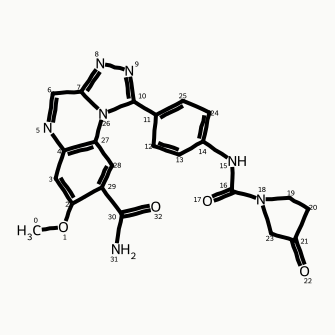 COc1cc2ncc3nnc(-c4ccc(NC(=O)N5CCC(=O)C5)cc4)n3c2cc1C(N)=O